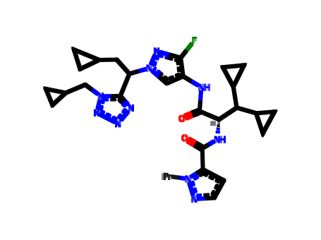 CC(C)n1nccc1C(=O)N[C@H](C(=O)Nc1cn(C(CC2CC2)c2nnnn2CC2CC2)nc1F)C(C1CC1)C1CC1